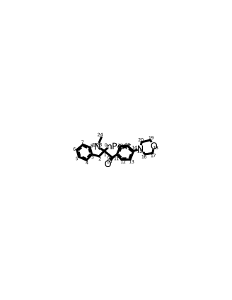 CCCCCC(Cc1ccccc1)(C(=O)c1ccc(N2CCOCC2)cc1)N(C)C